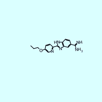 CCCOc1ccc(-c2nc3cc(C(=N)N)ccc3[nH]2)nc1